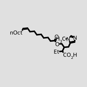 CCCCCCCC/C=C\CCCCCCCC(=O)OCC(Cc1cncn1C)C(CC)C(=O)O